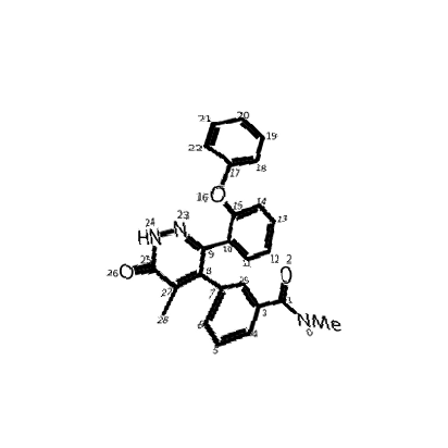 CNC(=O)c1cccc(-c2c(-c3ccccc3Oc3ccccc3)n[nH]c(=O)c2C)c1